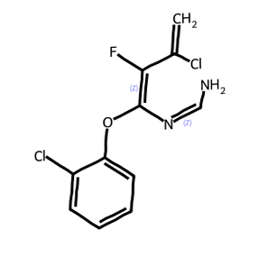 C=C(Cl)/C(F)=C(\N=C/N)Oc1ccccc1Cl